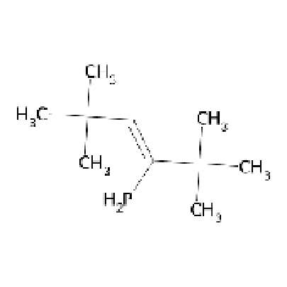 CC(C)(C)C=C(P)C(C)(C)C